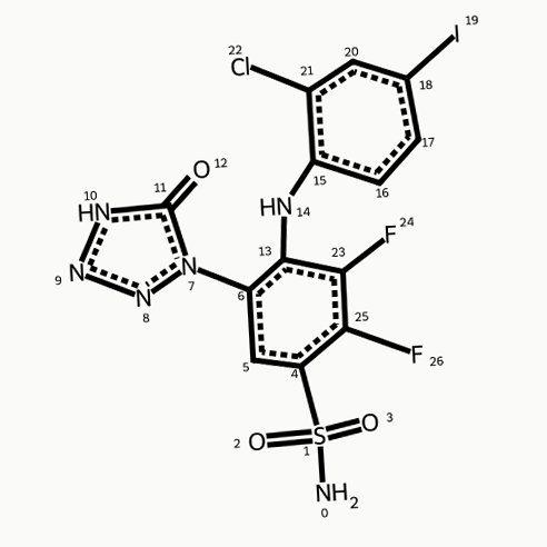 NS(=O)(=O)c1cc(-n2nn[nH]c2=O)c(Nc2ccc(I)cc2Cl)c(F)c1F